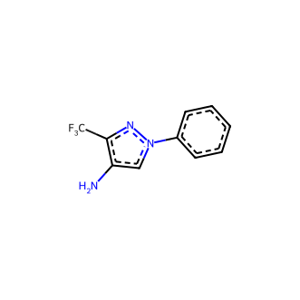 Nc1cn(-c2ccccc2)nc1C(F)(F)F